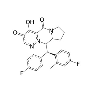 Cc1cc(F)ccc1[C@@H](c1ccc(F)cc1)C1C2CCCN2C(=O)c2c(O)c(=O)cnn21